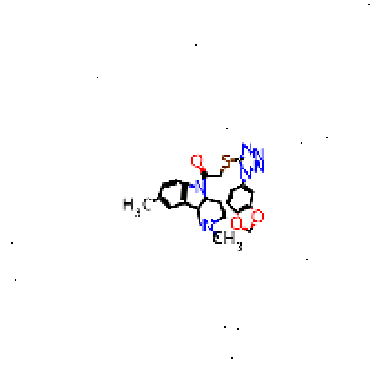 Cc1ccc2c(c1)C1CN(C)CCC1N2C(=O)CSc1nnnn1-c1ccc2c(c1)OCO2